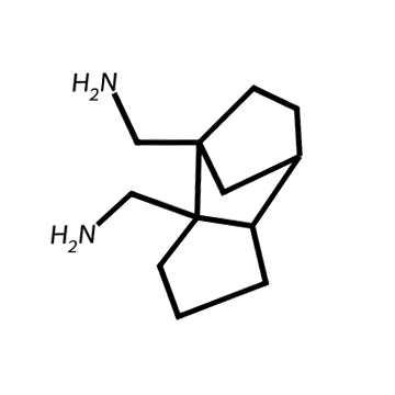 NCC12CCC(C1)C1CCCC12CN